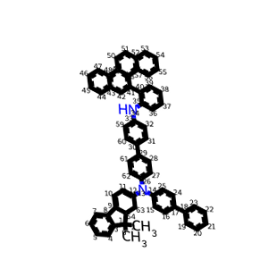 CC1(C)c2ccccc2C2=CC=C(N(c3ccc(-c4ccccc4)cc3)c3ccc(-c4ccc(Nc5ccccc5-c5cc6ccccc6c6ccc7ccccc7c56)cc4)cc3)CC21